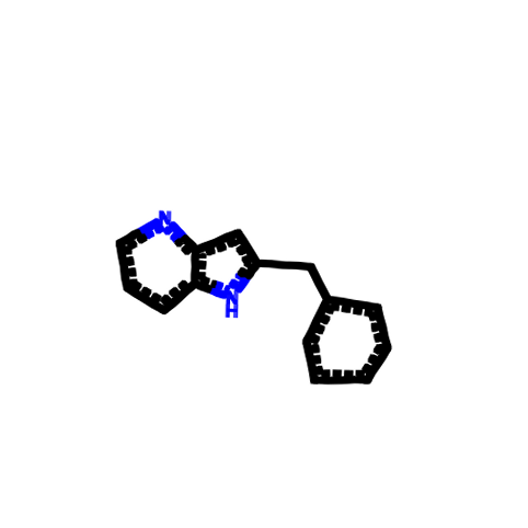 c1ccc(Cc2cc3ncccc3[nH]2)cc1